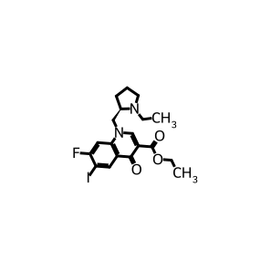 CCOC(=O)c1cn(C[C@H]2CCCN2CC)c2cc(F)c(I)cc2c1=O